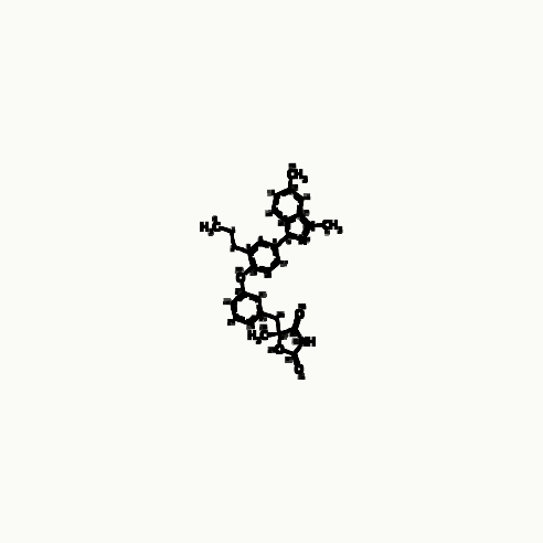 CCCc1cc(-c2nn(C)c3cc(C)ccc23)ccc1Oc1cccc(C[C@@]2(C)OC(=O)NC2=O)c1